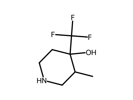 CC1CNCCC1(O)C(F)(F)F